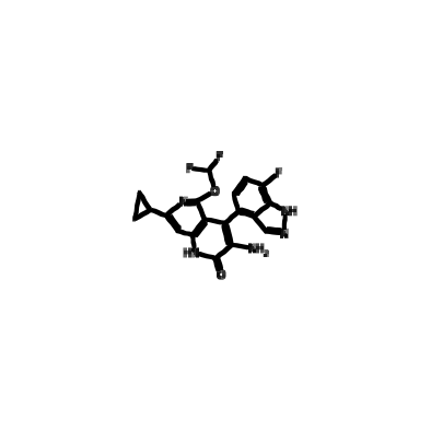 Nc1c(-c2ccc(F)c3[nH]ncc23)c2c(OC(F)F)nc(C3CC3)cc2[nH]c1=O